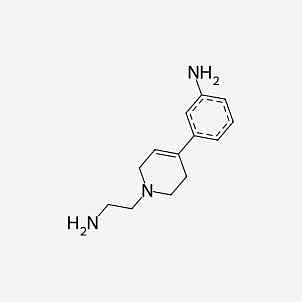 NCCN1CC=C(c2cccc(N)c2)CC1